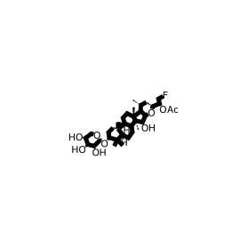 CC(=O)O[C@H](CF)[C@H]1C[C@@H](C)C2C(O1)[C@H](O)[C@@]1(C)[C@@H]3CC[C@H]4C(C)(C)[C@@H](OC5OC[C@@H](O)[C@H](O)[C@H]5O)CC[C@@]45C[C@@]35CC[C@]21C